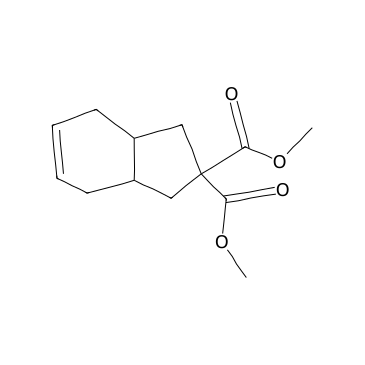 COC(=O)C1(C(=O)OC)CC2CC=CCC2C1